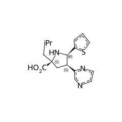 CC(C)C[C@@]1(C(=O)O)C[C@H](c2cnccn2)[C@H](c2cccs2)N1